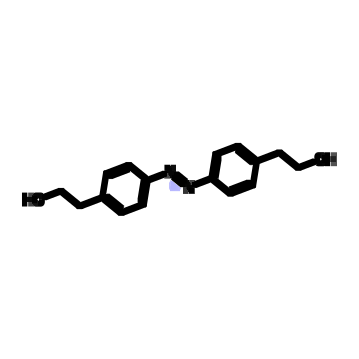 OCCc1ccc(/N=N/c2ccc(CCO)cc2)cc1